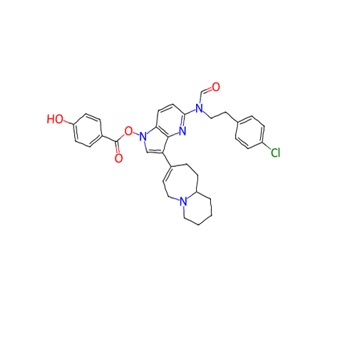 O=CN(CCc1ccc(Cl)cc1)c1ccc2c(n1)c(C1=CCN3CCCCC3CC1)cn2OC(=O)c1ccc(O)cc1